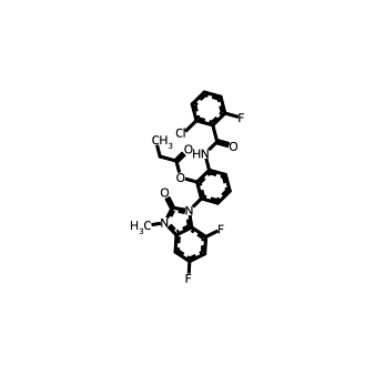 CCC(=O)Oc1c(NC(=O)c2c(F)cccc2Cl)cccc1-n1c(=O)n(C)c2cc(F)cc(F)c21